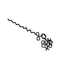 CCCCCCCCCCCCCCCCOC(=O)c1cccc(NC(=O)C(Cl)(C(=O)C(C)(C)C)n2cccn2)c1